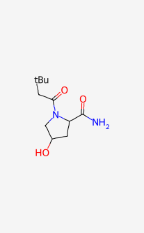 CC(C)(C)CC(=O)N1CC(O)CC1C(N)=O